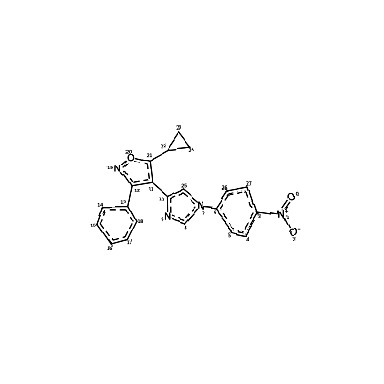 O=[N+]([O-])c1ccc(-n2cnc(-c3c(-c4ccccc4)noc3C3CC3)c2)cc1